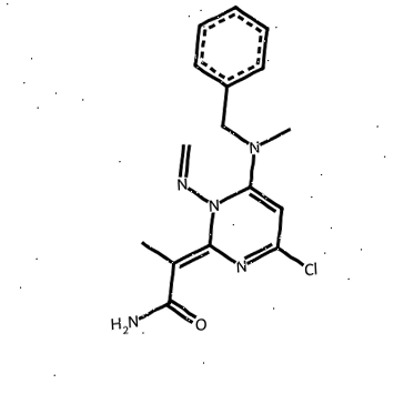 C=NN1C(N(C)Cc2ccccc2)=CC(Cl)=N/C1=C(/C)C(N)=O